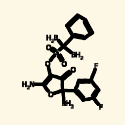 BC1(c2cc(F)cc(F)c2)OC(N)=C(OS(=O)(=O)C(B)(B)c2ccccc2)C1=O